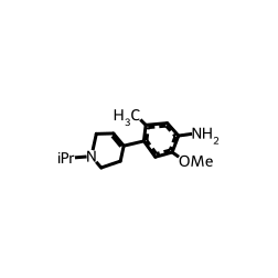 COc1cc(C2=CCN(C(C)C)CC2)c(C)cc1N